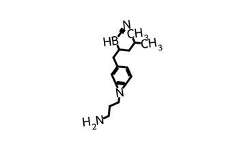 CC(C)CC(BC#N)Cc1ccc2c(c1)N2CCCN